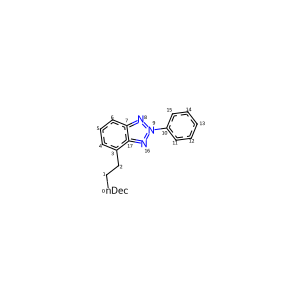 CCCCCCCCCCCCc1cccc2nn(-c3ccccc3)nc12